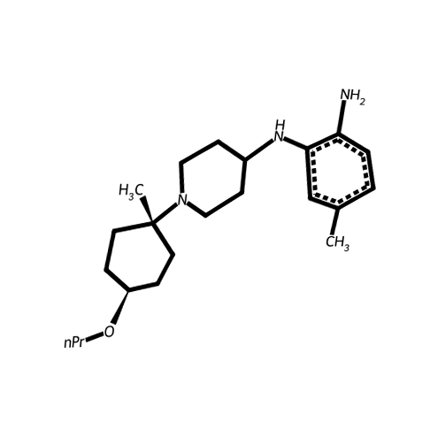 CCCO[C@H]1CC[C@](C)(N2CCC(Nc3cc(C)ccc3N)CC2)CC1